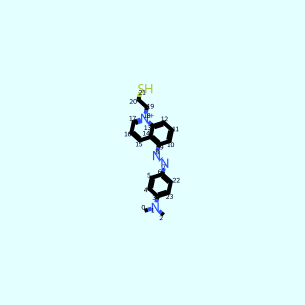 CN(C)c1ccc(/N=N/c2cccc3c2ccc[n+]3CCS)cc1